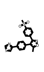 Cc1onc(-c2ccc(S(C)(=O)=O)cc2)c1-c1ccc(-c2cscn2)cc1